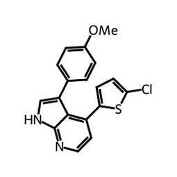 COc1ccc(-c2c[nH]c3nccc(-c4ccc(Cl)s4)c23)cc1